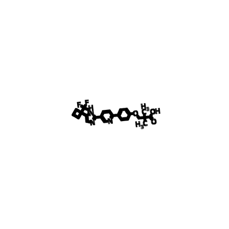 CC(C)(COc1ccc(-c2ccc(-c3ncc(C4(C(F)(F)F)CCC4)[nH]3)cn2)cc1)C(=O)O